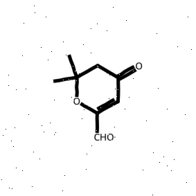 CC1(C)CC(=O)C=C([C]=O)O1